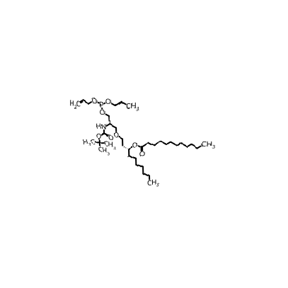 C=CCOP(OCCC)OC[C@@H](COCC[C@@H](CCCCCCC)OC(=O)CCCCCCCCCCC)NC(=O)OC(C)(C)C